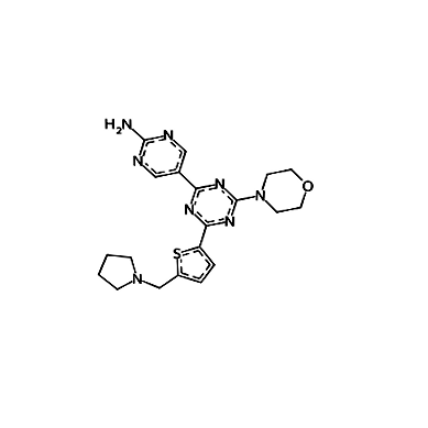 Nc1ncc(-c2nc(-c3ccc(CN4CCCC4)s3)nc(N3CCOCC3)n2)cn1